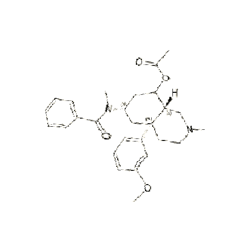 COc1cccc([C@@]23CCN(C)C[C@H]2C(OC(C)=O)C[C@@H](N(C)C(=O)c2ccccc2)C3)c1